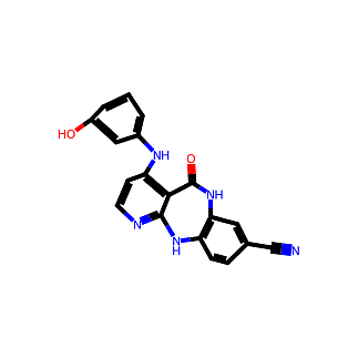 N#Cc1ccc2c(c1)NC(=O)c1c(Nc3cccc(O)c3)ccnc1N2